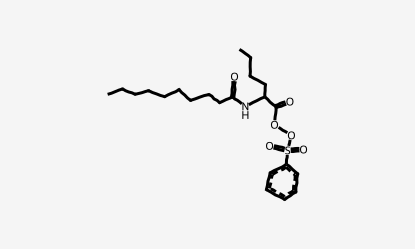 CCCCCCCCCC(=O)NC(CCCC)C(=O)OOS(=O)(=O)c1ccccc1